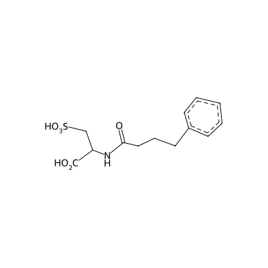 O=C(CCCc1ccccc1)NC(CS(=O)(=O)O)C(=O)O